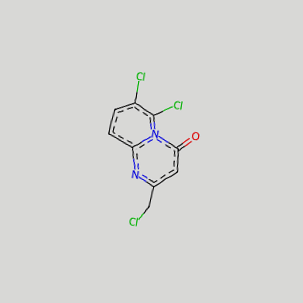 O=c1cc(CCl)nc2ccc(Cl)c(Cl)n12